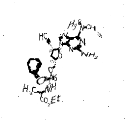 C#C[C@H]1C[C@@H](CO[P@@](=S)(N[C@H](C)C(=O)OCC)Oc2ccccc2)O[C@H]1n1cnc2c(N(C)C)nc(N)nc21